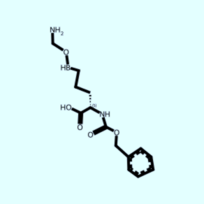 NCOBCCC[C@H](NC(=O)OCc1ccccc1)C(=O)O